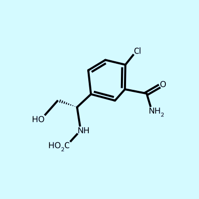 NC(=O)c1cc([C@@H](CO)NC(=O)O)ccc1Cl